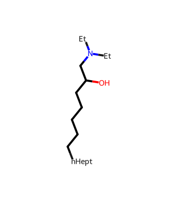 CCCCCCCCCCCCC(O)CN(CC)CC